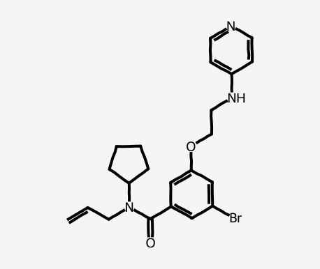 C=CCN(C(=O)c1cc(Br)cc(OCCNc2ccncc2)c1)C1CCCC1